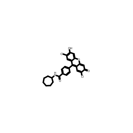 O=C(NC1CCCCCC1)c1ccc(-c2c3cc(Cl)c(=O)cc-3oc3cc(O)c(Cl)cc23)cc1